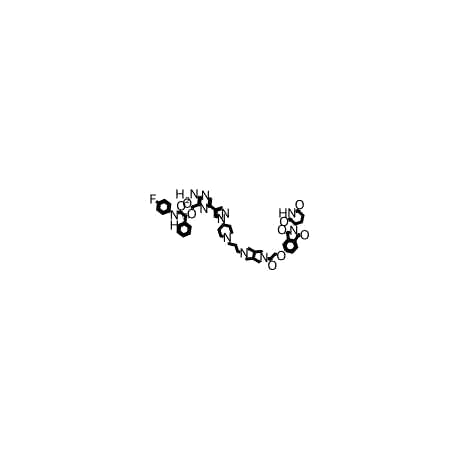 Nc1ncc(-c2cnn(C3CCN(CCCN4CC5CN(C(=O)COc6ccc7c(c6)C(=O)N(C6CCC(=O)NC6=O)C7=O)CC5C4)CC3)c2)nc1C(=O)O[C@@H](C(=O)Nc1ccc(F)cc1)c1ccccc1